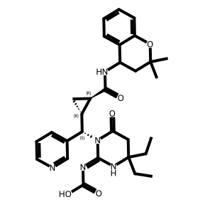 CCC1(CC)CC(=O)N([C@H](c2cccnc2)[C@@H]2C[C@H]2C(=O)NC2CC(C)(C)Oc3ccccc32)C(=NC(=O)O)N1